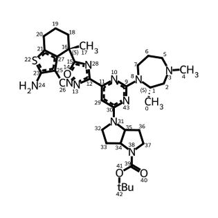 C[C@H]1CN(C)CCCN1c1nc(-c2noc([C@@]3(C)CCCc4sc(N)c(C#N)c43)n2)cc(N2CCC3C2CCN3C(=O)OC(C)(C)C)n1